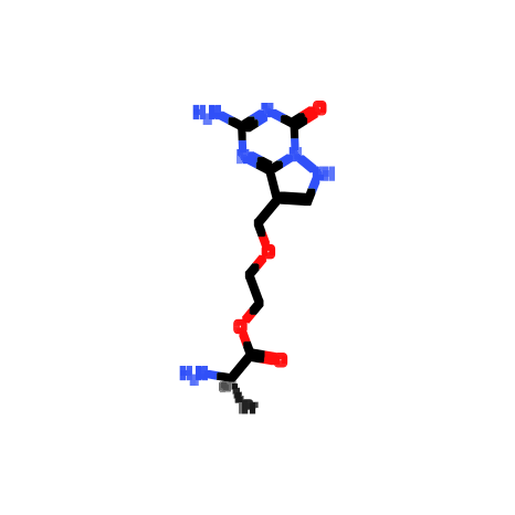 CC(C)[C@H](N)C(=O)OCCOCc1c[nH]n2c(=O)nc(N)nc12